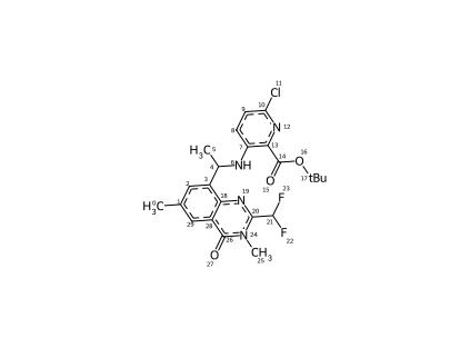 Cc1cc(C(C)Nc2ccc(Cl)nc2C(=O)OC(C)(C)C)c2nc(C(F)F)n(C)c(=O)c2c1